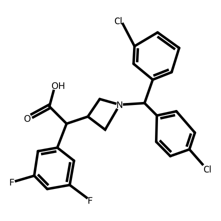 O=C(O)C(c1cc(F)cc(F)c1)C1CN(C(c2ccc(Cl)cc2)c2cccc(Cl)c2)C1